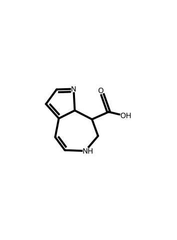 O=C(O)C1CNC=CC2=CC=NC21